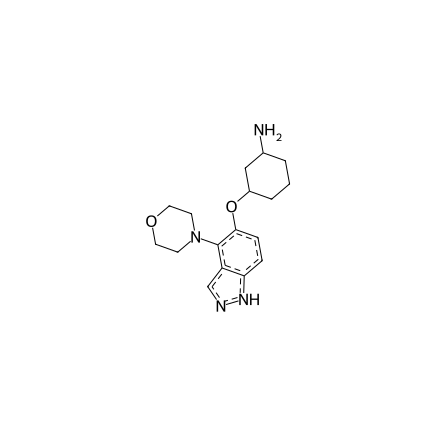 NC1CCCC(Oc2ccc3[nH]ncc3c2N2CCOCC2)C1